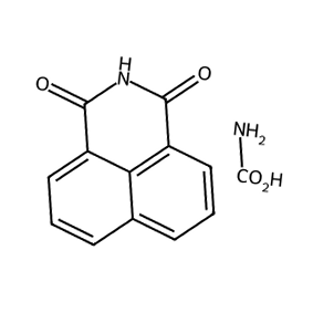 NC(=O)O.O=C1NC(=O)c2cccc3cccc1c23